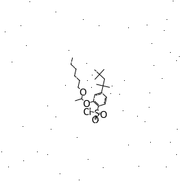 CCCCCCOC(C)Oc1cc(C(C)(C)CC(C)(C)C)ccc1S(=O)(=O)Cl